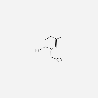 CCC1CCC(C)=CN1CC#N